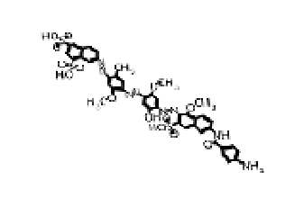 COc1cc(N=Nc2ccc3cc(S(=O)(=O)O)cc(S(=O)(=O)O)c3c2)c(C)cc1N=Nc1cc(O)c(N=Nc2c(S(=O)(=O)O)cc3cc(NC(=O)c4ccc(N)cc4)ccc3c2OC)cc1OC